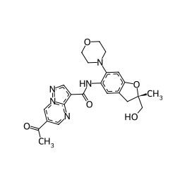 CC(=O)c1cnc2c(C(=O)Nc3cc4c(cc3N3CCOCC3)O[C@](C)(CO)C4)cnn2c1